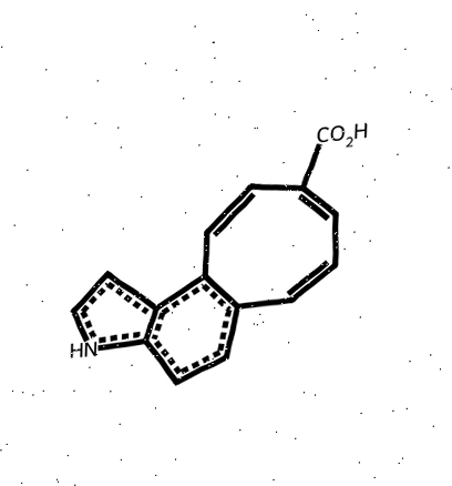 O=C(O)C1=CC=Cc2ccc3[nH]ccc3c2C=C1